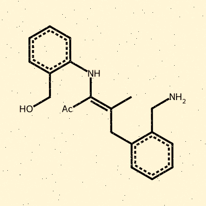 CC(=O)/C(Nc1ccccc1CO)=C(/C)Cc1ccccc1CN